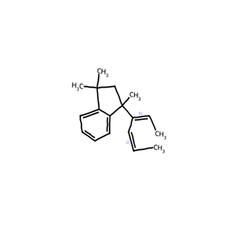 C/C=C\C(=C/C)C1(C)CC(C)(C)c2ccccc21